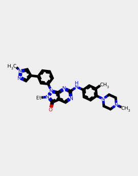 CCn1c(=O)c2cnc(Nc3ccc(N4CCN(C)CC4)c(C)c3)nc2n1-c1cccc(-c2cnn(C)c2)c1